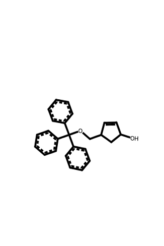 OC1C=CC(COC(c2ccccc2)(c2ccccc2)c2ccccc2)C1